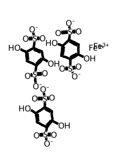 O=S(=O)([O-])c1cc(O)c(S(=O)(=O)[O-])cc1O.O=S(=O)([O-])c1cc(O)c(S(=O)(=O)[O-])cc1O.O=S(=O)([O-])c1cc(O)c(S(=O)(=O)[O-])cc1O.[Fe+3].[Fe+3]